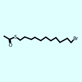 CC(=O)SCCCCCCCCCCCBr